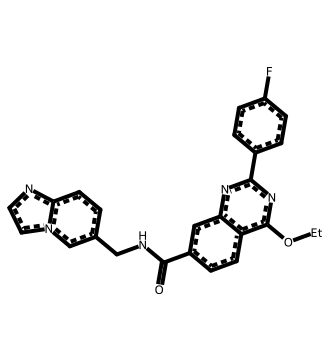 CCOc1nc(-c2ccc(F)cc2)nc2cc(C(=O)NCc3ccc4nccn4c3)ccc12